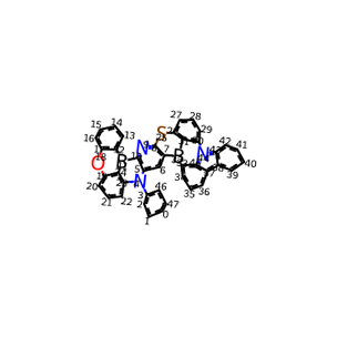 c1ccc(N2c3cc4c(nc3B3c5ccccc5Oc5cccc2c53)Sc2cccc3c2B4c2cccc4c5ccccc5n-3c24)cc1